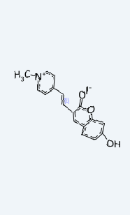 C[n+]1ccc(/C=C/c2cc3ccc(O)cc3oc2=O)cc1.[I-]